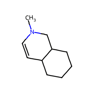 CN1C=CC2CCCCC2C1